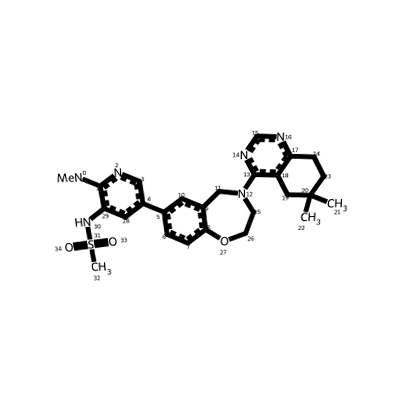 CNc1ncc(-c2ccc3c(c2)CN(c2ncnc4c2CC(C)(C)CC4)CCO3)cc1NS(C)(=O)=O